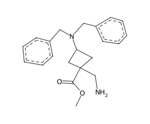 COC(=O)C1(CN)CC(N(Cc2ccccc2)Cc2ccccc2)C1